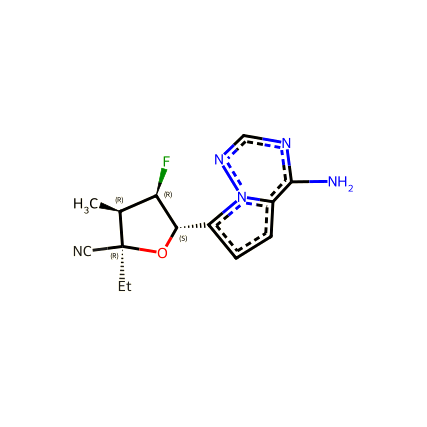 CC[C@@]1(C#N)O[C@@H](c2ccc3c(N)ncnn23)[C@H](F)[C@@H]1C